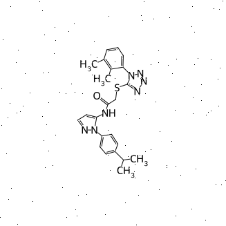 Cc1cccc(-n2nnnc2SCC(=O)Nc2ccnn2-c2ccc(C(C)C)cc2)c1C